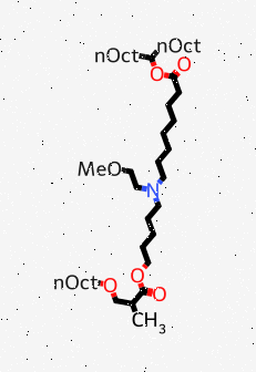 CCCCCCCCOCC(C)C(=O)OCCCCCN(CCCCCCCC(=O)OC(CCCCCCCC)CCCCCCCC)CCOC